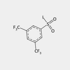 O=S(=O)(I)c1cc(C(F)(F)F)cc(C(F)(F)F)c1